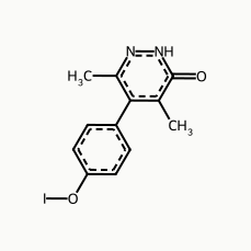 Cc1n[nH]c(=O)c(C)c1-c1ccc(OI)cc1